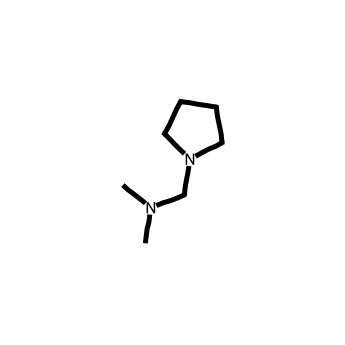 CN(C)CN1CCCC1